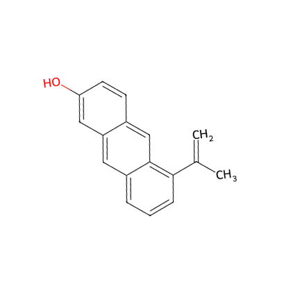 C=C(C)c1cccc2cc3cc(O)ccc3cc12